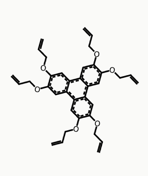 C=CCOc1cc2c3cc(OCC=C)c(OCC=C)cc3c3cc(OCC=C)c(OCC=C)cc3c2cc1OCC=C